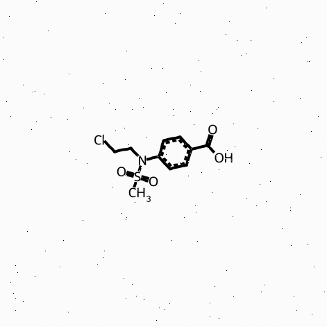 CS(=O)(=O)N(CCCl)c1ccc(C(=O)O)cc1